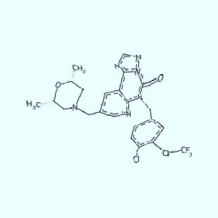 C[C@@H]1CN(Cc2cnc3c(c2)c2ncnn2c(=O)n3Cc2ccc(Cl)c(OC(F)(F)F)c2)C[C@H](C)O1